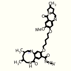 C=C1CNC(=O)c2cc(C(=O)N=[N+]=[N-])c(OCCCCCOc3cc4c(cc3OC)C(=O)N3CC(=C)CC3C=N4)cc2/N=C\C(C)C1